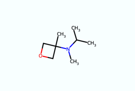 CC(C)N(C)C1(C)COC1